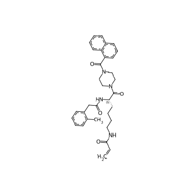 C=CC(=O)NCCCC[C@H](NC(=O)Cc1ccccc1C)C(=O)N1CCN(C(=O)c2cccc3ccccc23)CC1